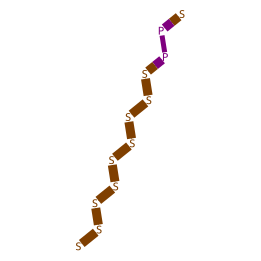 S=PP=S=S=S=S=S=S=S=S=S